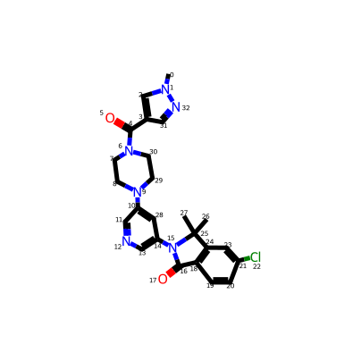 Cn1cc(C(=O)N2CCN(c3cncc(N4C(=O)c5ccc(Cl)cc5C4(C)C)c3)CC2)cn1